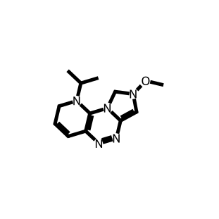 CON1C=C2N=NC3=C(N2C1)N(C(C)C)CC=C3